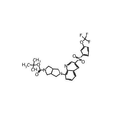 CC(C)(C)OC(=O)N1CC2CN(c3cccc4cc(S(=O)(=O)c5cccc(OC(F)(F)F)c5)cnc34)CC2C1